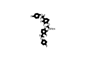 CCCCCCC(Oc1ccc(C(F)(F)Oc2ccc(F)cc2)c(F)c1F)Oc1ccc(C(F)(F)Oc2ccc(F)cc2)c(F)c1F